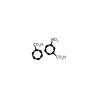 O=C(O)c1cccc([N+](=O)[O-])c1.O=C(O)c1ccccc1